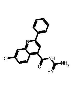 N=C(N)NC(=O)c1cc(-c2ccccc2)nc2cc(Cl)ccc12